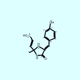 CC1(C=CC(=O)O)NC(=O)C(=Cc2ccc(O)cc2)N1